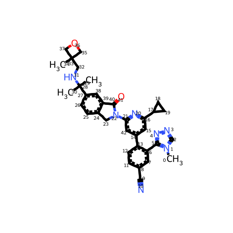 Cn1cnnc1-c1cc(C#N)ccc1-c1cc(C2CC2)nc(N2Cc3ccc(C(C)(C)NCC4(C)COC4)cc3C2=O)c1